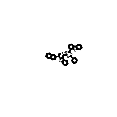 c1ccc(C2=NC(c3cccc4c3oc3ccccc34)NC(c3ncc(-c4ccc5ccccc5c4)c4oc5ccccc5c34)=N2)cc1